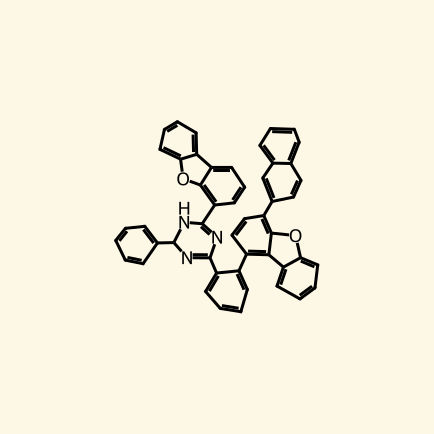 c1ccc(C2N=C(c3ccccc3-c3ccc(-c4ccc5ccccc5c4)c4oc5ccccc5c34)N=C(c3cccc4c3oc3ccccc34)N2)cc1